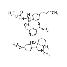 CCCCc1ccc2[nH]c(NC(=O)OC)nc2c1.CCc1cc(C(N)=S)ccn1.COc1ccc(C(CN(C)C)C2(O)CCCCC2)cc1